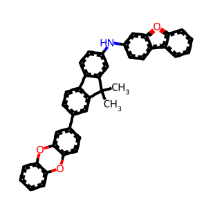 CC1(C)c2cc(Nc3ccc4c(c3)oc3ccccc34)ccc2-c2ccc(-c3ccc4c(c3)Oc3ccccc3O4)cc21